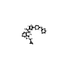 O=C(Nc1ccncc1C(=O)NCC1CC1)c1coc(N2CCC(Oc3ncccn3)CC2)n1